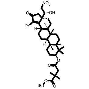 CC(C)C1=C2[C@H]3CC[C@@H]4[C@@]5(C)CC[C@H](OC(=O)CC(C)(C)C(=O)OC(C)(C)C)C(C)(C)[C@H]5CC[C@@]4(C)[C@]3(C)CC[C@@]2([C@@H](O)C[N+](=O)[O-])CC1=O